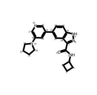 O=C(NC1CCC1)c1n[nH]c2ccc(-c3cncc(N4CCCC4)c3)cc12